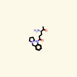 CC(=O)[C@@H](N)CCC(=O)Nc1ccccc1CN1CCCC1